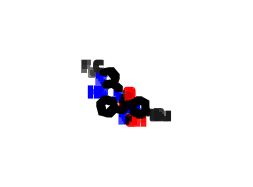 CC(C)(C)c1ccc(S(=O)(=O)N2Cc3ccc(C(F)(F)F)nc3Nc3cccc(/C(N)=N/O)c32)cc1